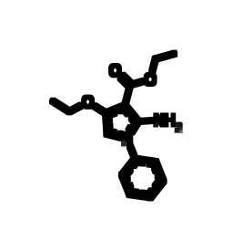 CCOC(=O)c1c(OCC)cn(-c2ccccc2)c1N